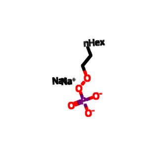 CCCCCCCCOOP(=O)([O-])[O-].[Na+].[Na+]